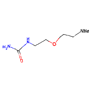 CNCCOCCNC(N)=O